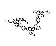 Cc1c(CN2CCC(Nc3nc(N)nc4sc(CC(F)(F)F)cc34)CC2)ccc2c1cc(C#N)n2CCN1CCN(CC(=O)N(C)C)CC1